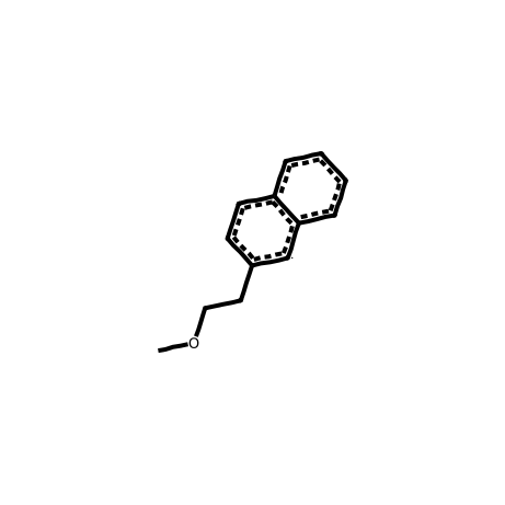 COCCc1[c]c2ccccc2cc1